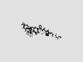 CC(C)CCCCn1cc(CNC(=O)c2ccc(NS(=O)(=O)c3ccc(F)cc3)cc2)nn1